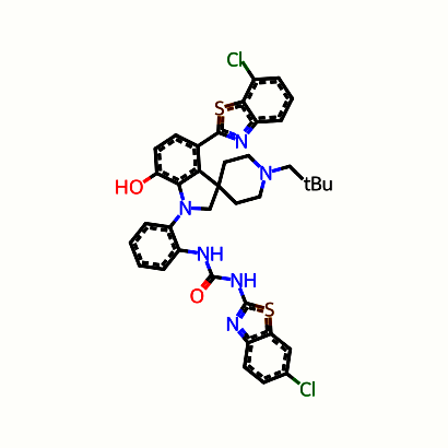 CC(C)(C)CN1CCC2(CC1)CN(c1ccccc1NC(=O)Nc1nc3ccc(Cl)cc3s1)c1c(O)ccc(-c3nc4cccc(Cl)c4s3)c12